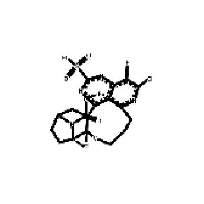 CCS(=O)(=O)c1nc2c3c(nc(Cl)c(F)c3n1)CCCC[C@@H]1[C@@H]3CCC(CN21)N3C(=O)OC(C)(C)C